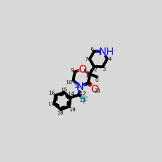 CC1(C2CCNCC2)OCCN(C(F)c2ccccc2)C1=O